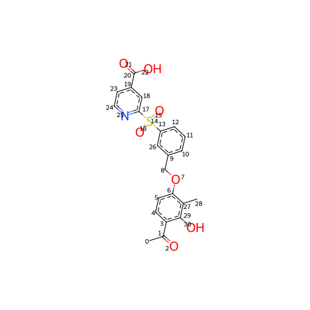 CC(=O)c1ccc(OCc2cccc(S(=O)(=O)c3cc(C(=O)O)ccn3)c2)c(C)c1O